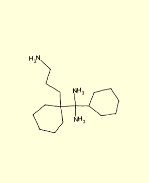 NCCCC1(C(N)(N)C2CCCCC2)CCCCC1